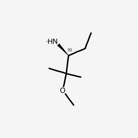 CC[C@H]([NH])C(C)(C)OC